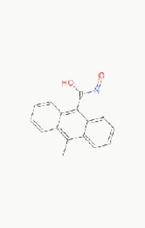 Cc1c2ccccc2c(B(O)N=O)c2ccccc12